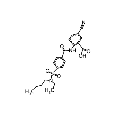 CCCCN(CC)S(=O)(=O)c1ccc(C(=O)Nc2ccc(C#N)cc2C(=O)O)cc1